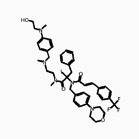 CN(CCN(C)C(=O)C(I)(Cc1ccccc1)N(Cc1ccc(N2CCOCC2)cc1)C(=O)C=Cc1ccc(C(F)(F)F)cc1)Cc1ccc(N(C)CCO)cc1